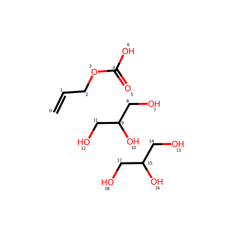 C=CCOC(=O)O.OCC(O)CO.OCC(O)CO